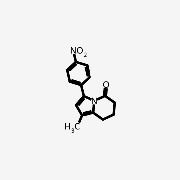 Cc1cc(-c2ccc([N+](=O)[O-])cc2)n2c1CCCC2=O